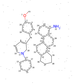 COc1ccc(CC2=CC=CN(c3ccccc3)C2)cc1.Nc1cccc2c1ccc1c3c(ccc12)CCCC3